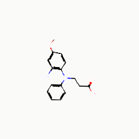 COc1ccc(N(CCC(=O)O)c2ccccc2)c(N)c1